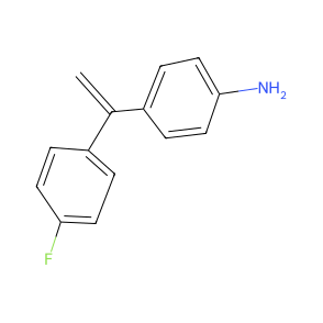 C=C(c1ccc(N)cc1)c1ccc(F)cc1